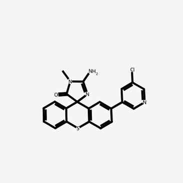 CN1C(=O)C2(N=C1N)c1ccccc1Sc1ccc(-c3cncc(Cl)c3)cc12